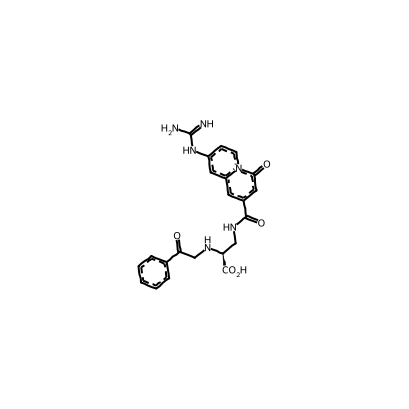 N=C(N)Nc1ccn2c(=O)cc(C(=O)NC[C@H](NCC(=O)c3ccccc3)C(=O)O)cc2c1